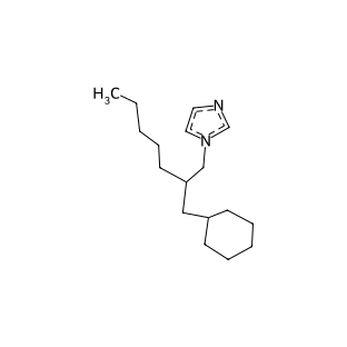 CCCCCC(CC1CCCCC1)Cn1ccnc1